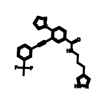 CC(F)(F)c1cccc(C#Cc2cc(C(=O)NCCCc3cn[nH]c3)ccc2-n2cccn2)c1